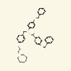 CCC(=NN(Cc1ccc(OCCN2CCCCCC2)cc1)c1ccc(OCc2ccccc2)cc1)c1ccc(OCc2ccccc2)cc1